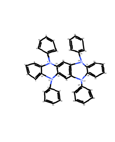 c1ccc(-n2c3ccccc3n(-c3ccccc3)c3cc4c(cc32)n(-c2ccccc2)c2ccccc2n4-c2ccccc2)cc1